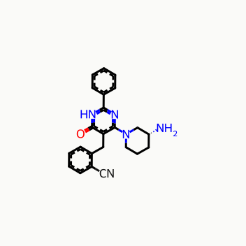 N#Cc1ccccc1Cc1c(N2CCC[C@@H](N)C2)nc(-c2ccccc2)[nH]c1=O